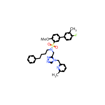 COc1ccc(-c2ccc(F)c(C)c2)cc1S(=O)(=O)N(CCCCc1ccccc1)Cc1nncn1Cc1cccc(C)n1